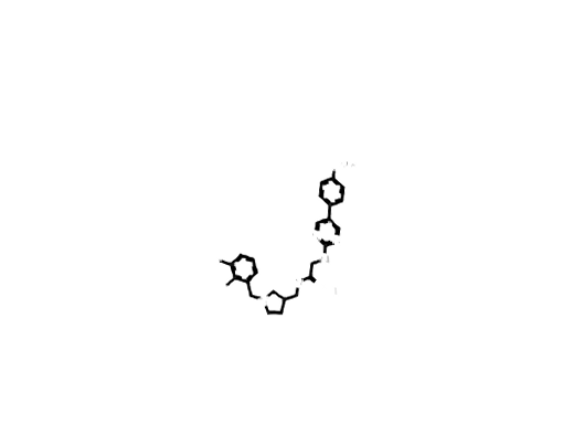 COc1ccc(-c2cnc(NCC(=O)NCC3CCN(Cc4cccc(Cl)c4Cl)C3)nc2)cc1.Cl